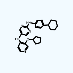 c1cc(Nc2cnc(Nc3ccc(C4CCCCC4)cc3)nc2)c(OC2CCCC2)cn1